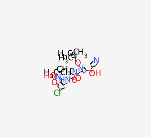 CC(C)(C)N(Cc1ccc(Cl)cc1CNC(=O)[C@@H]1CCCN1C(=O)c1cc(C(O)c2ccncc2)cn1COCC[Si](C)(C)C)C(=O)O